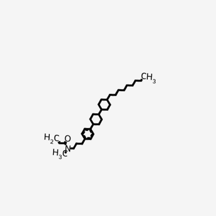 C=CC(=O)N(C)CCCc1ccc(C2CCC(C3CCC(CCCCCCCCC)CC3)CC2)cc1